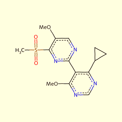 COc1cnc(-c2c(OC)ncnc2C2CC2)nc1S(C)(=O)=O